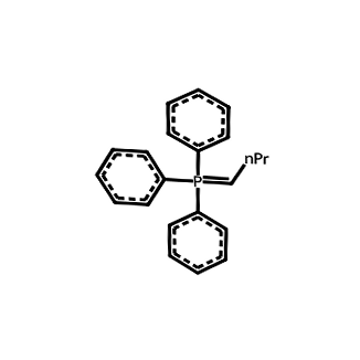 CCCC=P(c1ccccc1)(c1ccccc1)c1ccccc1